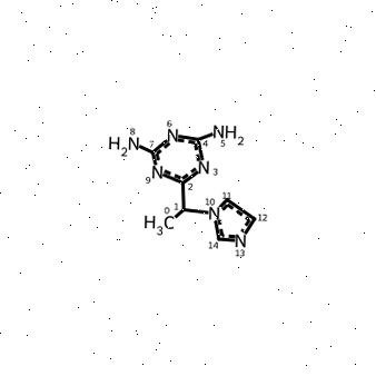 CC(c1nc(N)nc(N)n1)n1ccnc1